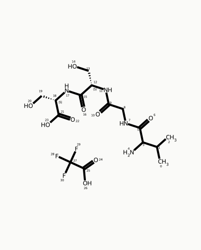 CC(C)C(N)C(=O)NCC(=O)N[C@@H](CO)C(=O)N[C@@H](CO)C(=O)O.O=C(O)C(F)(F)F